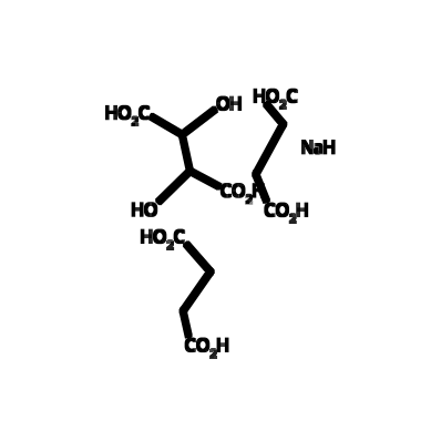 O=C(O)C(O)C(O)C(=O)O.O=C(O)CCC(=O)O.O=C(O)CCC(=O)O.[NaH]